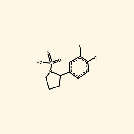 N=S(=O)(O)N1CCCC1c1ccc(Cl)c(Cl)c1